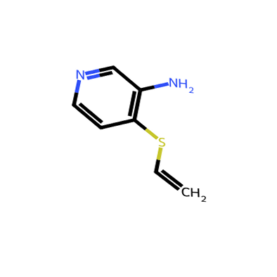 C=CSc1ccncc1N